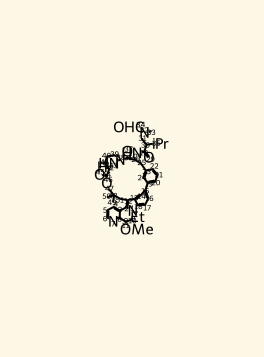 CCn1c(-c2cccnc2[C@H](C)OC)c2c3cc(ccc31)-c1cccc(c1)C[C@H](NC(=O)C(CN(C)C=O)C(C)C)C(=O)N1CCC[C@H](N1)C(=O)OCC(C)(C)C2